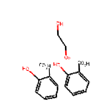 O=C(O)c1ccccc1O.O=C(O)c1ccccc1O.OCCO